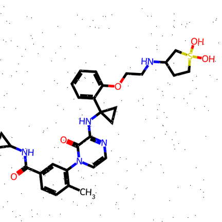 Cc1ccc(C(=O)NC2CC2)cc1-n1ccnc(NC2(c3ccccc3OCCNC3CCS(O)(O)C3)CC2)c1=O